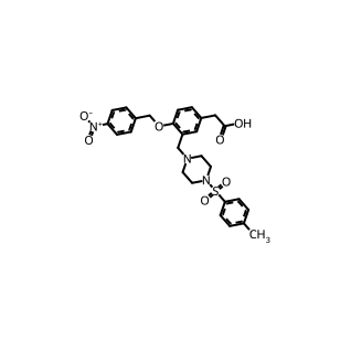 Cc1ccc(S(=O)(=O)N2CCN(Cc3cc(CC(=O)O)ccc3OCc3ccc([N+](=O)[O-])cc3)CC2)cc1